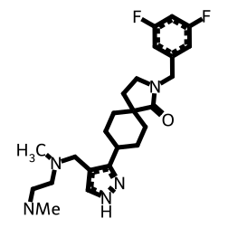 CNCCN(C)Cc1c[nH]nc1C1CCC2(CC1)CCN(Cc1cc(F)cc(F)c1)C2=O